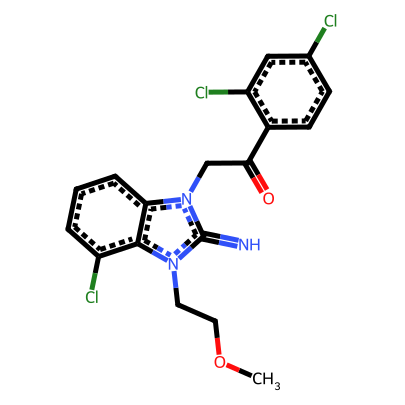 COCCn1c(=N)n(CC(=O)c2ccc(Cl)cc2Cl)c2cccc(Cl)c21